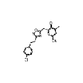 Cc1cc(C#N)nn(Cc2nc(CCc3ccc(Cl)cc3)no2)c1=O